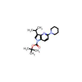 CC(C)c1cn(C(=O)OC(C)(C)C)c2ccc(N3CCCCC3)nc12